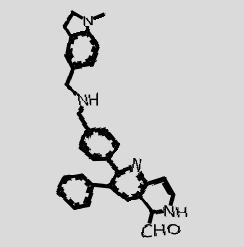 CN1CCc2cc(CNCc3ccc(-c4nc5c(cc4-c4ccccc4)C(C=O)NC=C5)cc3)ccc21